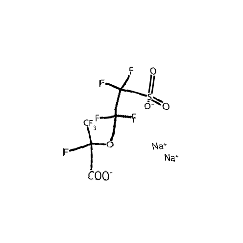 O=C([O-])C(F)(OC(F)(F)C(F)(F)S(=O)(=O)[O-])C(F)(F)F.[Na+].[Na+]